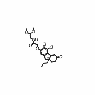 CCC[C@]12CCC(=O)C=C1c1c(cc(OCC(=O)NCC(OC)OC)c(Cl)c1Cl)C2